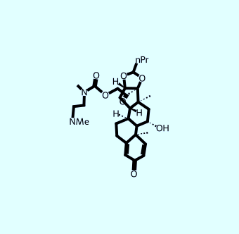 CCCC1O[C@H]2C[C@H]3[C@@H]4CCC5=CC(=O)C=C[C@]5(C)C4[C@@H](O)C[C@]3(C)[C@]2(C(=O)COC(=O)N(C)CCNC)O1